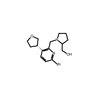 CC(C)c1ccc([C@@H]2CCOC2)c(CN2CCCC2CO)n1